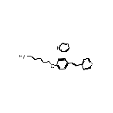 CCCCCCOc1ccc(C=Cc2ccncc2)cc1.c1ccncc1